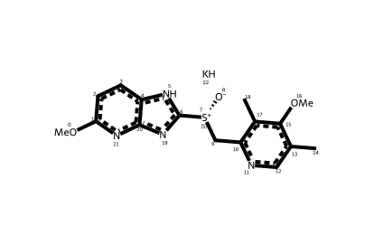 COc1ccc2[nH]c([S@+]([O-])Cc3ncc(C)c(OC)c3C)nc2n1.[KH]